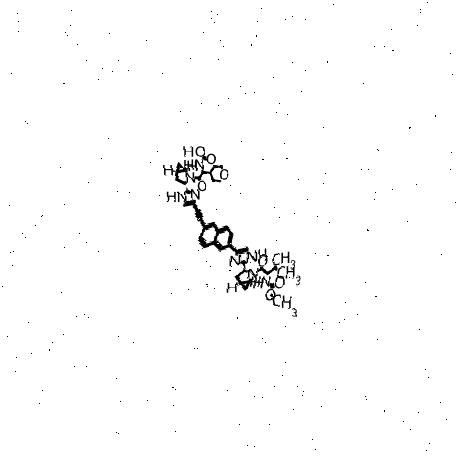 COC(=O)N[C@H](C(=O)N1[C@@H]2C[C@@H]2C[C@H]1c1nc(-c2ccc3cc(C#Cc4c[nH]c([C@@H]5C[C@H]6C[C@H]6N5C(=O)[C@@H](NC(=O)O)C5CCOCC5)n4)ccc3c2)c[nH]1)C(C)C